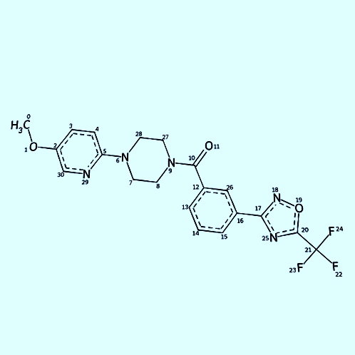 COc1ccc(N2CCN(C(=O)c3cccc(-c4noc(C(F)(F)F)n4)c3)CC2)nc1